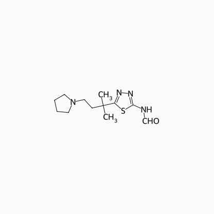 CC(C)(CCN1CCCC1)c1nnc(NC=O)s1